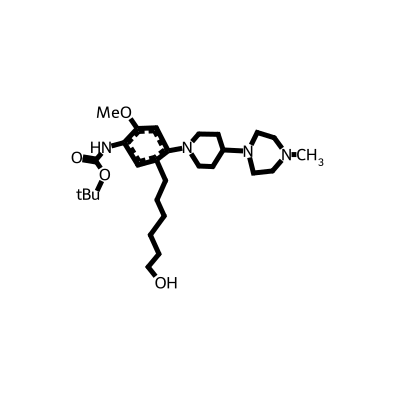 COc1cc(N2CCC(N3CCN(C)CC3)CC2)c(CCCCCCO)cc1NC(=O)OC(C)(C)C